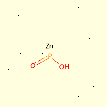 O=PO.[Zn]